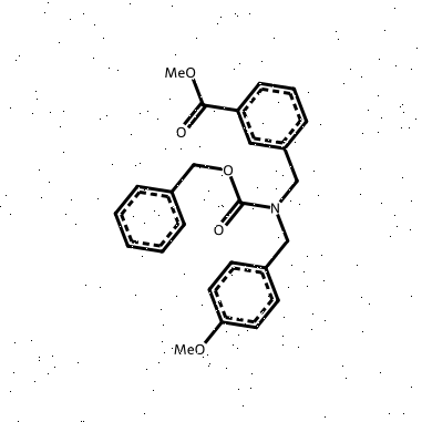 COC(=O)c1cccc(CN(Cc2ccc(OC)cc2)C(=O)OCc2ccccc2)c1